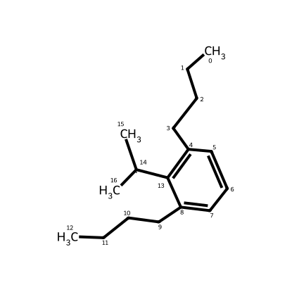 CCCCc1cccc(CCCC)c1[C](C)C